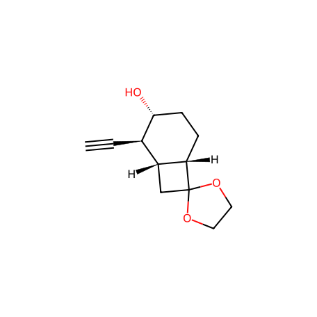 C#C[C@@H]1[C@H]2CC3(OCCO3)[C@H]2CC[C@H]1O